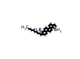 CCCCCCCCc1cc2ccc3c4ccc5c(ccc6ccn(C)c65)c4ccc3c2n1C